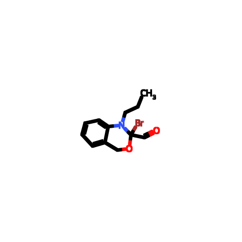 CCCN1c2ccccc2COC1(Br)C=O